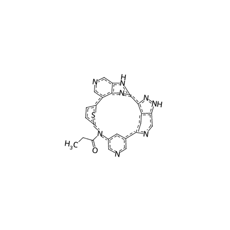 CCC(=O)n1c2cncc(c2)c2cc3c(cn2)[nH]nc3c2nc3c(cncc3c3ccc1s3)[nH]2